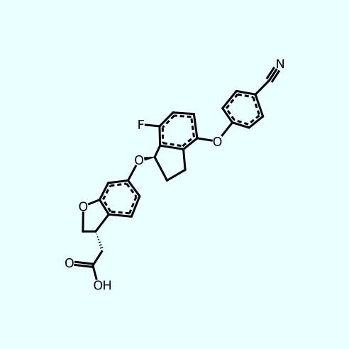 N#Cc1ccc(Oc2ccc(F)c3c2CC[C@H]3Oc2ccc3c(c2)OC[C@H]3CC(=O)O)cc1